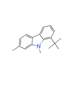 Cc1ccc2c3cccc(C(C)(C)C)c3n(C)c2c1